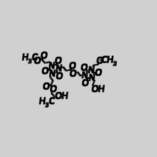 COCCn1c(=O)n(CCO)c(=O)n(CCOC(=O)CCn2c(=O)n(CCC(=O)OC)c(=O)n(CCC(=O)OCC(C)O)c2=O)c1=O